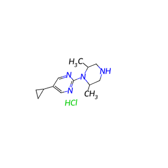 CC1CNCC(C)N1c1ncc(C2CC2)cn1.Cl